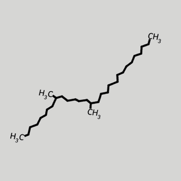 CCCCCCCCCCCCCCC(C)CCCCCC(C)CCCCCCCC